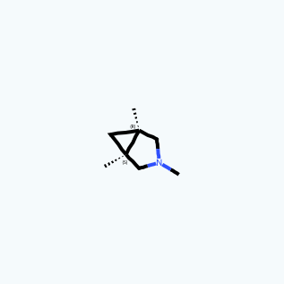 CN1C[C@@]2(C)C[C@@]2(C)C1